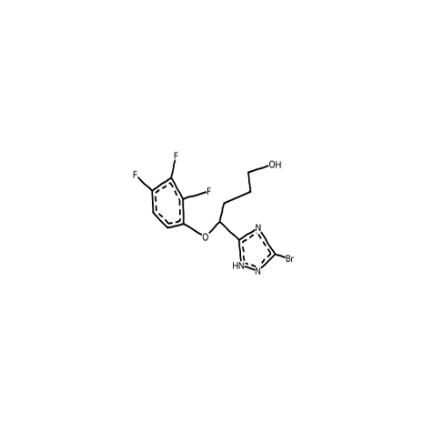 OCCCC(Oc1ccc(F)c(F)c1F)c1nc(Br)n[nH]1